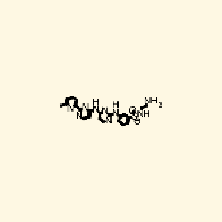 Cc1cccc(-c2nccc(Nc3ccnc(Nc4cccc(S(=O)(=O)NCCN)c4)n3)n2)n1